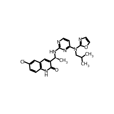 CC(C)CN(c1ccnc(N[C@@H](C)c2cc3cc(Cl)ccc3[nH]c2=O)n1)c1ncco1